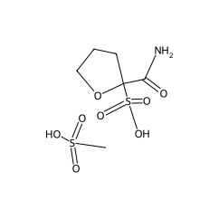 CS(=O)(=O)O.NC(=O)C1(S(=O)(=O)O)CCCO1